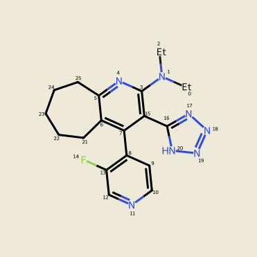 CCN(CC)c1nc2c(c(-c3ccncc3F)c1-c1nnn[nH]1)CCCCC2